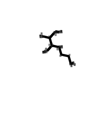 [CH2]CCCCC(CC)N(CCC)NCCN